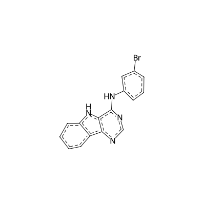 Brc1cccc(Nc2ncnc3c2[nH]c2ccccc23)c1